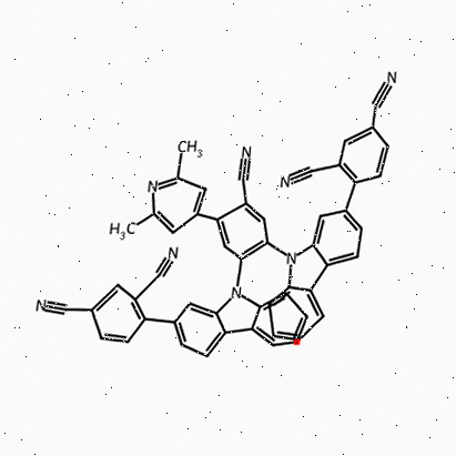 Cc1cc(-c2cc(-n3c4ccccc4c4ccc(-c5ccc(C#N)cc5C#N)cc43)c(-n3c4ccccc4c4ccc(-c5ccc(C#N)cc5C#N)cc43)cc2C#N)cc(C)n1